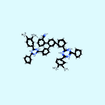 Cc1ccc(-c2nc(-c3ccccc3)nc(-c3cccc(-c4ccc(-c5ccccc5C#N)c(-c5cccc(-c6nc(-c7ccccc7)nc(-c7ccc(C)c(C)c7)n6)c5)c4)c3)n2)cc1C